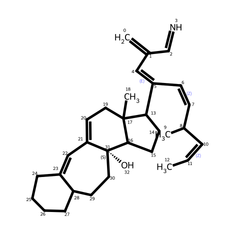 C=C(C=N)/C=C(\C=C/C(C)/C=C\C)C1CCC2C1(C)CC=C1C=C3CCCCC3CC[C@@]12O